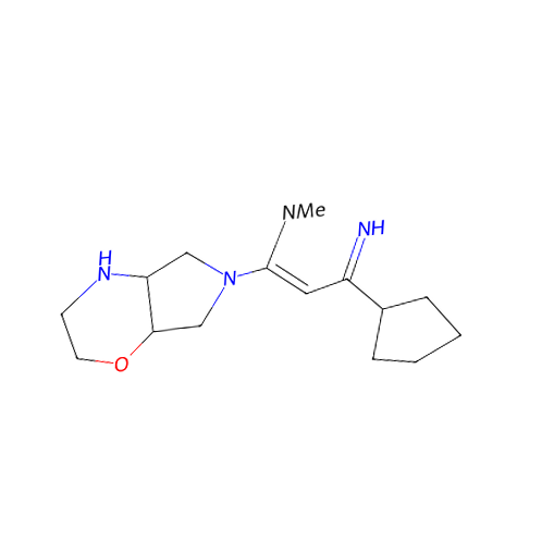 CN/C(=C\C(=N)C1CCCC1)N1CC2NCCOC2C1